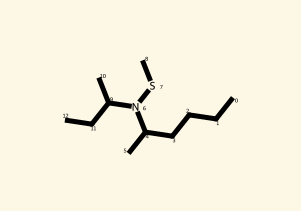 CCCCC(C)N(SC)C(C)CC